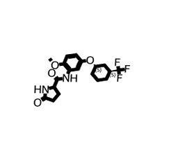 COc1ccc(O[C@H]2CCC[C@H](C(F)(F)F)C2)cc1NC(=O)C1CCC(=O)N1